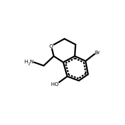 NCC1OCCc2c(Br)ccc(O)c21